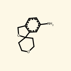 Nc1ccc2c(c1)C1(CCOCC1)OC2